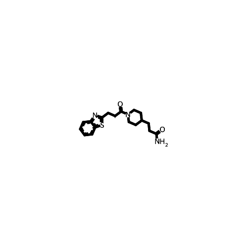 NC(=O)CCC1CCN(C(=O)[CH]Cc2nc3ccccc3s2)CC1